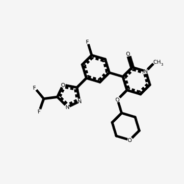 Cn1ccc(OC2CCOCC2)c(-c2cc(F)cc(-c3nnc(C(F)F)o3)c2)c1=O